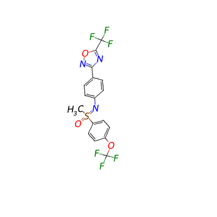 CS(=O)(=Nc1ccc(-c2noc(C(F)(F)F)n2)cc1)c1ccc(OC(F)(F)F)cc1